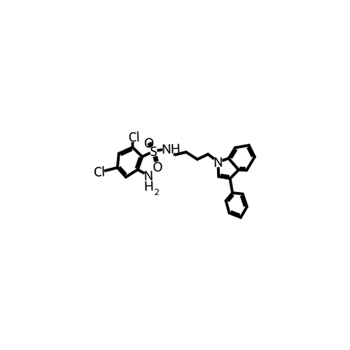 Nc1cc(Cl)cc(Cl)c1S(=O)(=O)NCCCCn1cc(-c2ccccc2)c2ccccc21